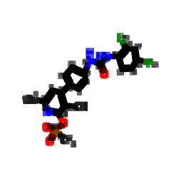 CC(C)(C)c1cc(-c2ccc(NC(=O)Nc3ccc(F)cc3F)cc2)c(C#N)c(OS(=O)(=O)C(F)(F)F)n1